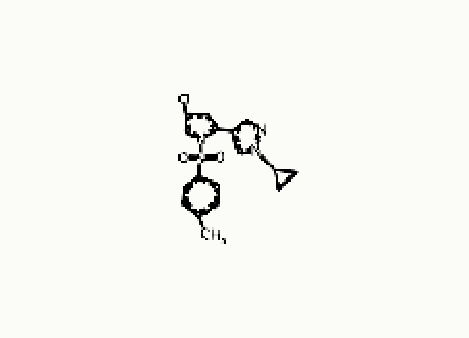 Cc1ccc(S(=O)(=O)n2cc(Cl)cc2-c2cnn(C3CC3)c2)cc1